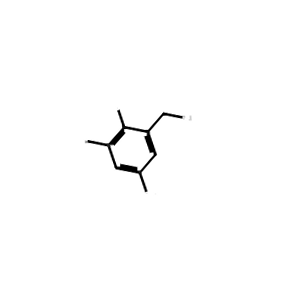 CCCc1cc(I)c(O)c(CN)c1.Cl